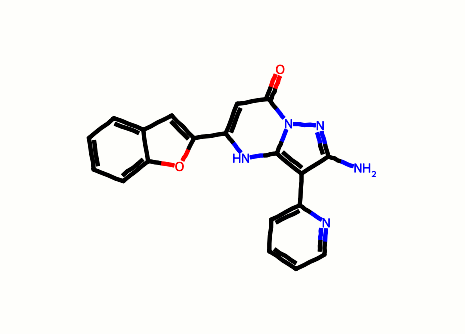 Nc1nn2c(=O)cc(-c3cc4ccccc4o3)[nH]c2c1-c1ccccn1